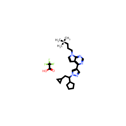 C[Si](C)(C)CCCn1ccc2c(-c3cnn(C(CC4CC4)C4CCCC4)c3)ncnc21.O=C(O)C(F)(F)F